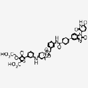 Cn1c(=O)n(C2CCC(=O)NC2=O)c2ccc([C@H]3CC[C@H](C(=O)Nc4cccc(CS(=O)(=O)N5CC[C@H](Nc6cccc(-c7sc(C(=O)O)c(OCC(=O)O)c7Cl)c6)CC5(C)C)c4)CC3)cc21